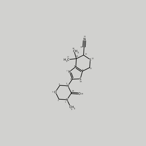 CN1COCN(c2nc3c(s2)CSC(C#N)C3(C)C)C1=O